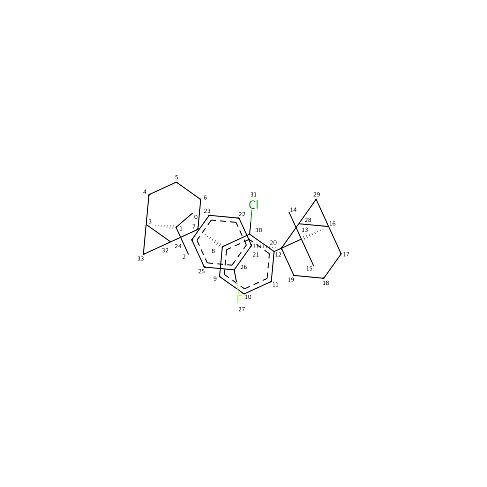 CC(C)[C@]12CCC[C@H](c3cccc(C(C)(C)[C@]45CCC[C@H](c6ccccc6F)C4C5)c3Cl)C1C2